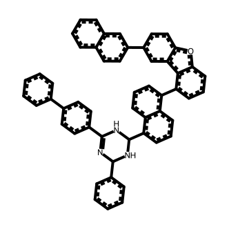 c1ccc(-c2ccc(C3=NC(c4ccccc4)NC(c4cccc5c(-c6cccc7oc8ccc(-c9ccc%10ccccc%10c9)cc8c67)cccc45)N3)cc2)cc1